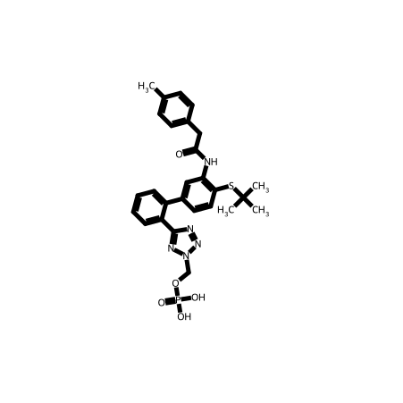 Cc1ccc(CC(=O)Nc2cc(-c3ccccc3-c3nnn(COP(=O)(O)O)n3)ccc2SC(C)(C)C)cc1